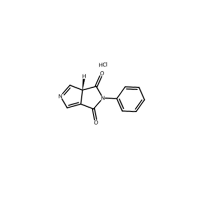 Cl.O=C1C2=CN=C[C@@H]2C(=O)N1c1ccccc1